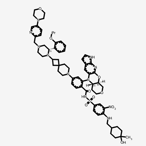 CC(C)Oc1ccccc1[C@H]1CN(Cc2ccc(N3CCOCC3)cn2)CCN1C1CC2(CCN(c3ccc(C(=O)NS(=O)(=O)c4ccc(NCC5CCC(C)(O)CC5)c([N+](=O)[O-])c4)c(N4c5cc6cc[nH]c6nc5O[C@H]5COCC[C@@H]54)c3)CC2)C1